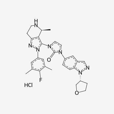 Cc1cc(-n2nc3c(c2-n2ccn(-c4ccc5c(cnn5[C@@H]5CCOC5)c4)c2=O)[C@H](C)NCC3)cc(C)c1F.Cl